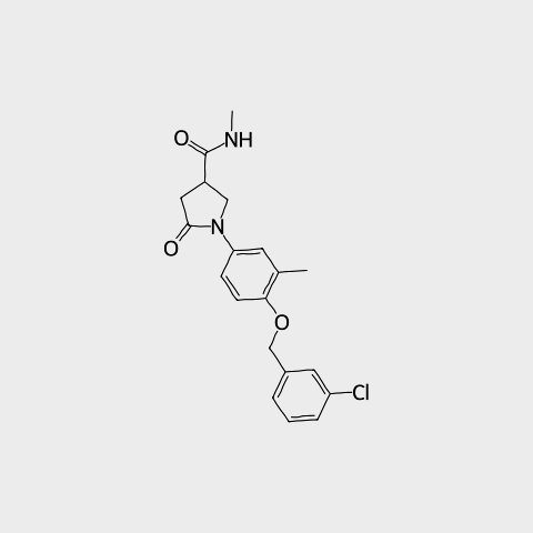 CNC(=O)C1CC(=O)N(c2ccc(OCc3cccc(Cl)c3)c(C)c2)C1